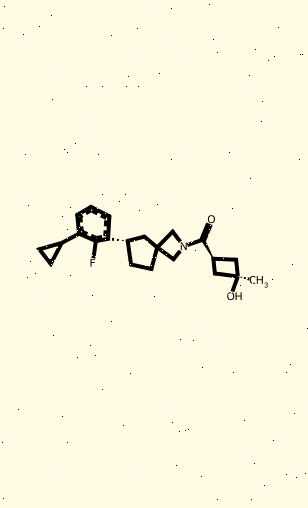 C[C@]1(O)C[C@@H](C(=O)N2CC3(CC[C@H](c4cccc(C5CC5)c4F)C3)C2)C1